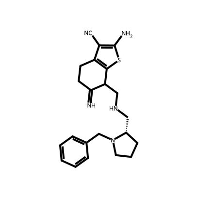 N#Cc1c(N)sc2c1CCC(=N)C2CNC[C@@H]1CCCN1Cc1ccccc1